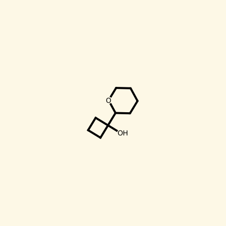 OC1(C2CCCCO2)CCC1